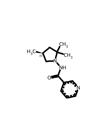 C[C@@H]1CN(NC(=O)c2cccnc2)C(C)(C)C1